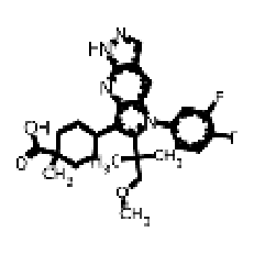 COCC(C)(C)c1c(C2CCC(C)(C(=O)O)CC2)c2nc3[nH]ncc3cc2n1-c1ccc(F)c(F)c1